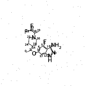 CC(Oc1cc(F)c2c(N)n[nH]c2c1)C1CCN(C(C)C(F)F)CC1